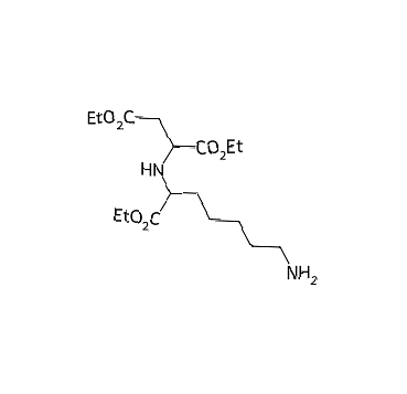 CCOC(=O)CC(NC(CCCCCN)C(=O)OCC)C(=O)OCC